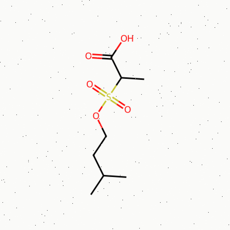 CC(C)CCOS(=O)(=O)C(C)C(=O)O